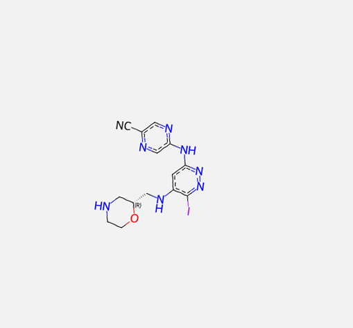 N#Cc1cnc(Nc2cc(NC[C@H]3CNCCO3)c(I)nn2)cn1